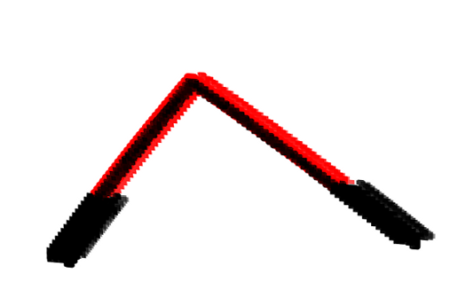 [Mg+2].[Mg+2].[Mg+2].[Mg+2].[Mg+2].[Mg+2].[Mg+2].[Mg+2].[Mg+2].[Mg+2].[Mg+2].[Mg+2].[Mg+2].[Mg+2].[Mg+2].[Mg+2].[Mg+2].[Mg+2].[Mg+2].[Mg+2].[Mg+2].[Mg+2].[Mg+2].[Mg+2].[Mg+2].[Mg+2].[Mg+2].[Mg+2].[Mg+2].[Mg+2].[O-2].[O-2].[O-2].[O-2].[O-2].[O-2].[O-2].[O-2].[O-2].[O-2].[O-2].[O-2].[O-2].[O-2].[O-2].[O-2].[O-2].[O-2].[O-2].[O-2].[O-2].[O-2].[O-2].[O-2].[O-2].[O-2].[O-2].[O-2].[O-2].[O-2].[O-2].[O-2].[O-2].[O-2].[O-2].[O-2].[O-2].[O-2].[O-2].[O-2].[O-2].[O-2].[O-2].[O-2].[O-2].[O-2].[O-2].[O-2].[O-2].[O-2].[O-2].[O-2].[O-2].[O-2].[O-2].[O-2].[O-2].[O-2].[O-2].[O-2]